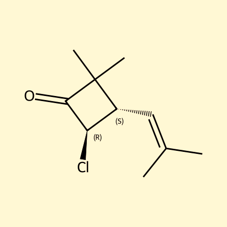 CC(C)=C[C@@H]1[C@@H](Cl)C(=O)C1(C)C